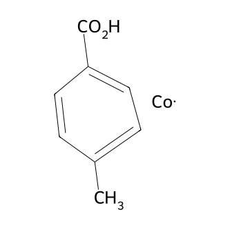 Cc1ccc(C(=O)O)cc1.[Co]